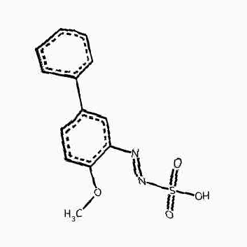 COc1ccc(-c2ccccc2)cc1N=NS(=O)(=O)O